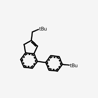 CC(C)(C)CC1=Cc2c(cccc2-c2ccc(C(C)(C)C)cc2)C1